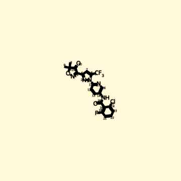 CC1(C)ON=C(c2cc(C(F)(F)F)n(-c3ccc(NC(=O)c4c(F)cccc4Cl)cn3)n2)C1=O